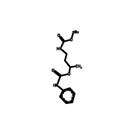 CCCCOC(=O)NCCC(C)OC(=O)Nc1ccccc1